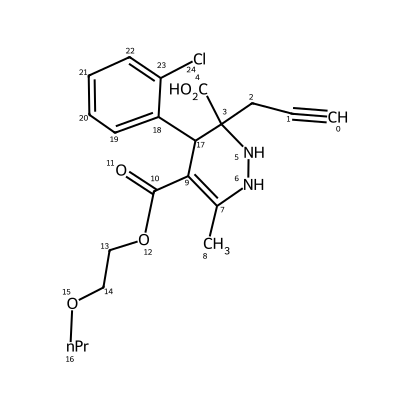 C#CCC1(C(=O)O)NNC(C)=C(C(=O)OCCOCCC)C1c1ccccc1Cl